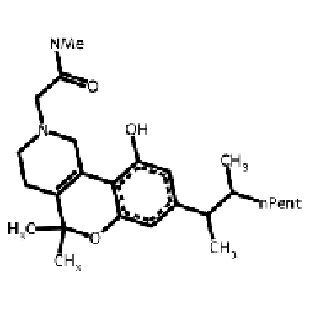 CCCCCC(C)C(C)c1cc(O)c2c(c1)OC(C)(C)C1=C2CN(CC(=O)NC)CC1